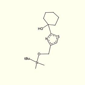 CC(C)(C)[Si](C)(C)OCc1csc(C2(O)CCCCC2)n1